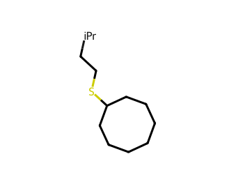 CC(C)CCSC1CCCCCCC1